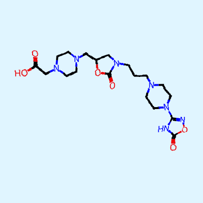 O=C(O)CN1CCN(CC2CN(CCCN3CCN(c4noc(=O)[nH]4)CC3)C(=O)O2)CC1